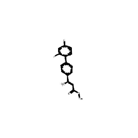 COC(=O)C=C(C)c1ccc(-c2ccc(F)cc2F)cc1